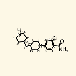 NC(=O)c1ccc(N2CCC(CC3CCNCC3)CC2)cc1Cl